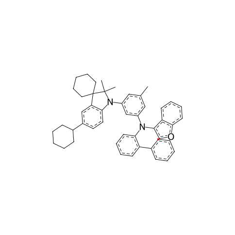 Cc1cc(N(c2ccccc2-c2ccccc2)c2coc3ccccc23)cc(N2c3ccc(C4CCCCC4)cc3C3(CCCCC3)C2(C)C)c1